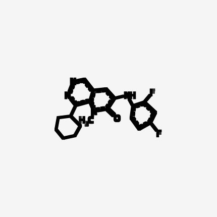 Cn1c(=O)c(Nc2ccc(F)cc2F)cc2cnnc(C3CCCCC3)c21